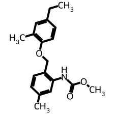 CCc1ccc(OCc2ccc(C)cc2NC(=O)OC)c(C)c1